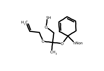 C=CCOC(C)(COS)OC1(CCCCCCCCC)C=CC=CC1